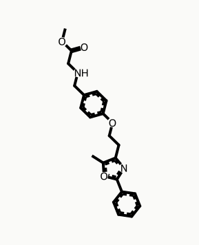 COC(=O)CNCc1ccc(OCCc2nc(-c3ccccc3)oc2C)cc1